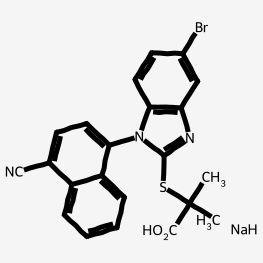 CC(C)(Sc1nc2cc(Br)ccc2n1-c1ccc(C#N)c2ccccc12)C(=O)O.[NaH]